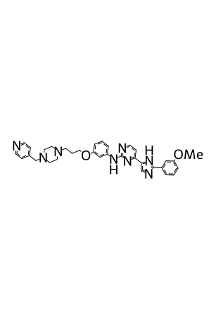 COc1cccc(-c2ncc(-c3ccnc(Nc4cccc(OCCCN5CCN(Cc6ccncc6)CC5)c4)n3)[nH]2)c1